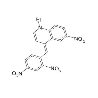 CCN1C=CC(=Cc2ccc([N+](=O)[O-])cc2[N+](=O)[O-])c2cc([N+](=O)[O-])ccc21